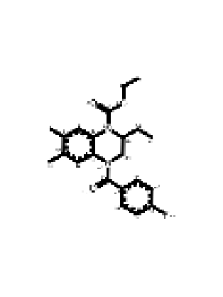 CCOC(=O)N1c2cc(C)c(C)cc2N(C(=O)c2ccc(F)cc2)CC1CC